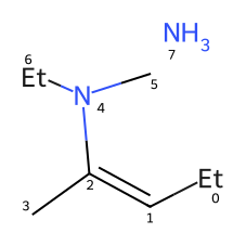 CCC=C(C)N(C)CC.N